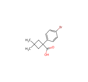 CC1(C)CC(C(=O)O)(c2ccc(Br)cc2)C1